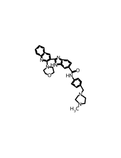 CN1CCN(Cc2ccc(NC(=O)c3ccc4nc(-c5cc6ccccc6nc5N5CCOCC5)[nH]c4c3)cc2)CC1